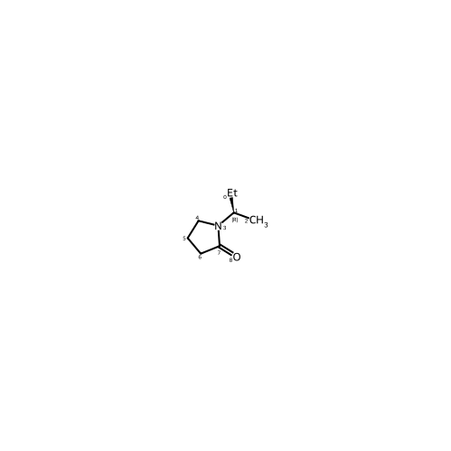 CC[C@@H](C)N1CCCC1=O